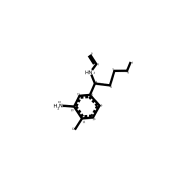 C=CNC(CCCC)c1ccc(C)c(N)c1